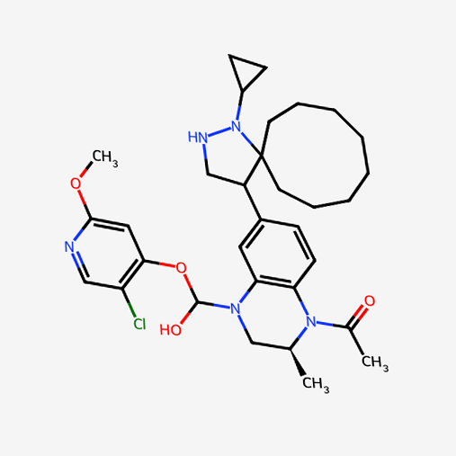 COc1cc(OC(O)N2C[C@H](C)N(C(C)=O)c3ccc(C4CNN(C5CC5)C45CCCCCCCC5)cc32)c(Cl)cn1